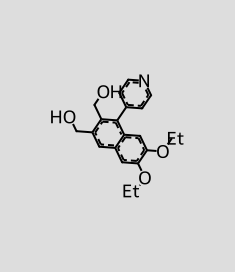 CCOc1cc2cc(CO)c(CO)c(-c3ccncc3)c2cc1OCC